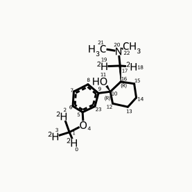 [2H]C([2H])([2H])Oc1cccc([C@@]2(O)CCCC[C@@H]2C([2H])([2H])N(C)C)c1